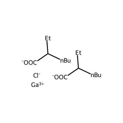 CCCCC(CC)C(=O)[O-].CCCCC(CC)C(=O)[O-].[Cl-].[Ga+3]